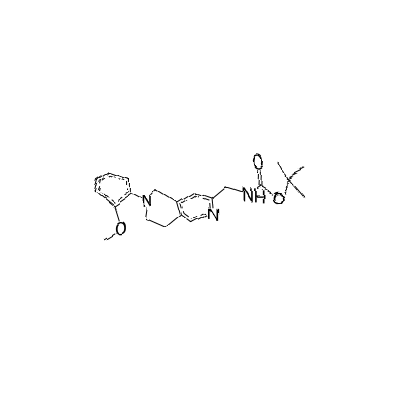 COc1ccccc1N1CCc2cnc(CNC(=O)OC(C)(C)C)cc2C1